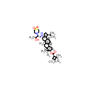 C=C(C)[C@@H]1CC[C@]2(NC[C@H]([C@H](C)O)N3CCS(=O)(=O)CC3)CC[C@]3(C)[C@H](CC[C@@H]4[C@@]5(C)CC[C@H](OC(=O)[C@@H]6C[C@H](C(=O)O)C6(C)C)C(C)(C)[C@@H]5CC[C@]43C)[C@@H]12